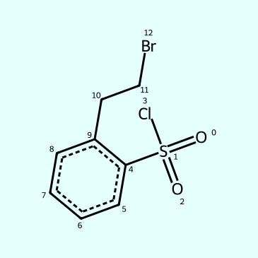 O=S(=O)(Cl)c1ccccc1CCBr